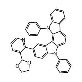 c1ccc(-n2c3ccc(-c4ncccc4C4OCCO4)cc3c3c2ccc2c4ccccc4n(-c4ccccc4)c23)cc1